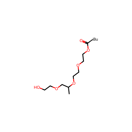 CCC(C)C(=O)OCCOCCOC(C)COCCO